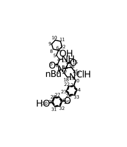 CCCCN1C(=O)[C@@H](CC2(O)CCCCC2)NC(=O)C12CCN(Cc1ccc(Oc3ccc(O)cc3)cc1)CC2.Cl